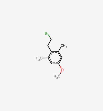 COc1cc(C)c(CCBr)c(C)c1